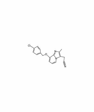 Cc1nc2c(OCc3ccc(Cl)cc3)cccn2c1CC#N